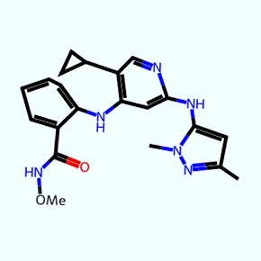 CONC(=O)c1ccccc1Nc1cc(Nc2cc(C)nn2C)ncc1C1CC1